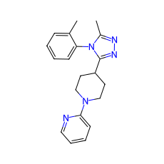 Cc1ccccc1-n1c(C)nnc1C1CCN(c2ccccn2)CC1